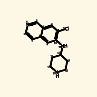 Clc1cc2cnccc2cc1NC1CCNCC1